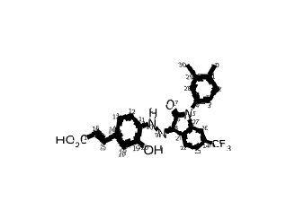 Cc1ccc(N2C(=O)/C(=N\Nc3ccc(/C=C/C(=O)O)cc3O)c3ccc(C(F)(F)F)cc32)cc1C